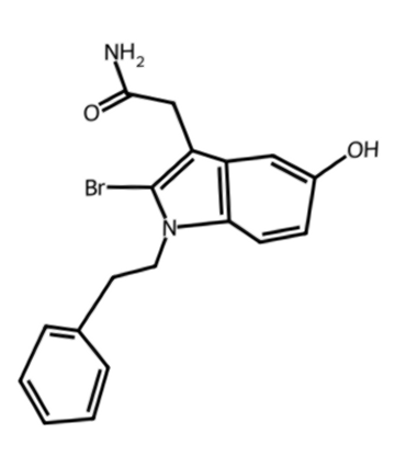 NC(=O)Cc1c(Br)n(CCc2ccccc2)c2ccc(O)cc12